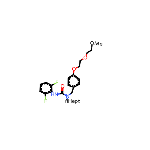 CCCCCCCN(Cc1ccc(OCCOCCOC)cc1)C(=O)Nc1c(F)cccc1F